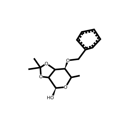 CC1O[C@@H](O)C2OC(C)(C)OC2[C@H]1OCc1ccccc1